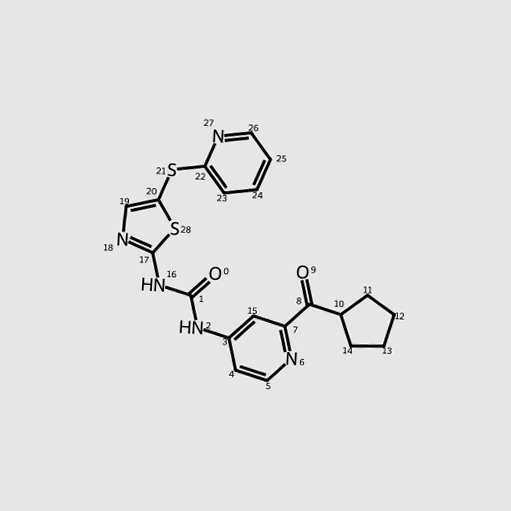 O=C(Nc1ccnc(C(=O)C2CCCC2)c1)Nc1ncc(Sc2ccccn2)s1